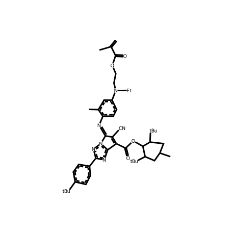 C=C(C)C(=O)OCCN(CC)c1ccc(N=C2C(C#N)=C(C(=O)OC3C(C(C)(C)C)CC(C)CC3C(C)(C)C)c3nc(-c4ccc(C(C)(C)C)cc4)nn32)c(C)c1